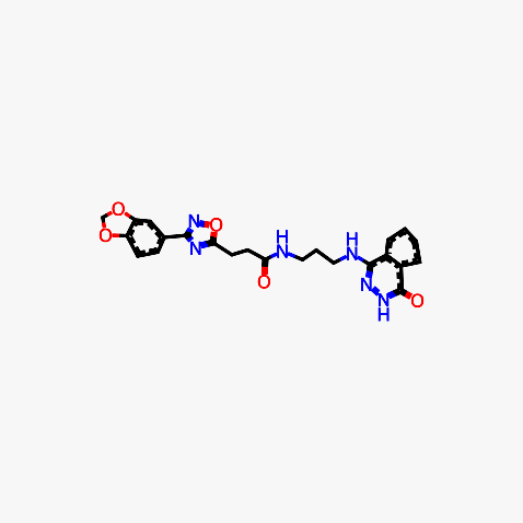 O=C(CCc1nc(-c2ccc3c(c2)OCO3)no1)NCCCNc1n[nH]c(=O)c2ccccc12